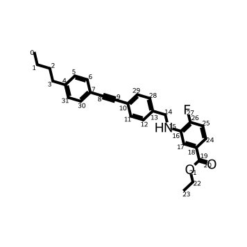 CCCCc1ccc(C#Cc2ccc(CNc3cc(C(=O)OCC)ccc3F)cc2)cc1